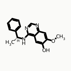 COc1cc2ncnc(N[C@H](C)c3ccccc3)c2cc1O